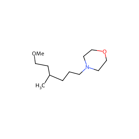 COCCC(C)CCCN1CCOCC1